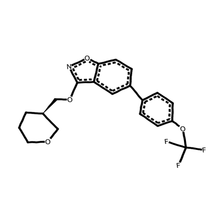 FC(F)(F)Oc1ccc(-c2ccc3onc(OC[C@@H]4CCCOC4)c3c2)cc1